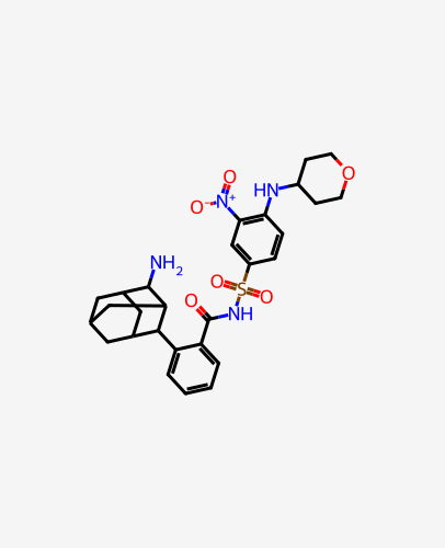 NC1C2CC3CC(C2)C(c2ccccc2C(=O)NS(=O)(=O)c2ccc(NC4CCOCC4)c([N+](=O)[O-])c2)C1C3